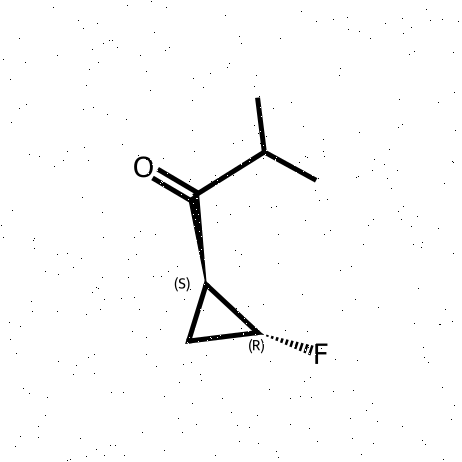 CC(C)C(=O)[C@@H]1C[C@H]1F